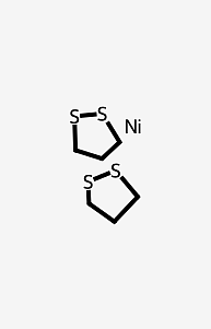 C1CSSC1.C1CSSC1.[Ni]